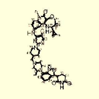 CC1CN(CC2CCN(c3ncc(Cl)c(Nc4ccc5c(c4)c4c(c(=O)n5C)OCC(F)(F)C(C5CC5)N4)n3)CC2)CCN1c1cccc2c(C3CCC(=O)NC3=O)nn(C)c12